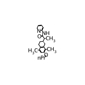 CCCOc1cc(C)c2c(c1C)C[C@H]([C@H](C)C(=O)Nc1ccccn1)CC2